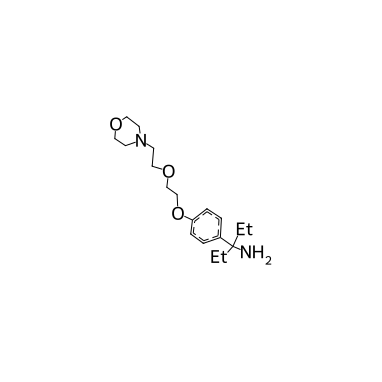 CCC(N)(CC)c1ccc(OCCOCCN2CCOCC2)cc1